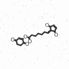 O=C1C=C(OC(=O)CCCCCC=C2C(=O)C=CC2=O)C(=O)CC1